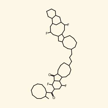 CC1CCCCCCCCC1C(=O)C1CC(F)C2C3CCCC(CCCC4CCCCC5C(CC4)CC4CC(F)CC6CC(CC7CCCCC76)C(F)CC45)CCCC3C(=O)C2C1F